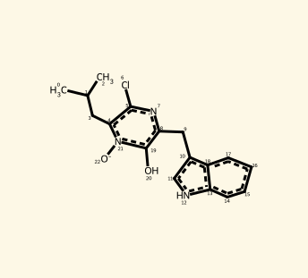 CC(C)Cc1c(Cl)nc(Cc2c[nH]c3ccccc23)c(O)[n+]1[O-]